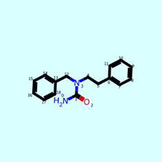 NC(=O)N(C[CH]c1ccccc1)Cc1ccccc1